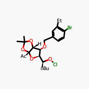 CCCC[C@H](OCl)[C@H]1O[C@]2(C(C)=O)OC(C)(C)O[C@@H]2[C@H]1OCc1ccc(Br)c(CC)c1